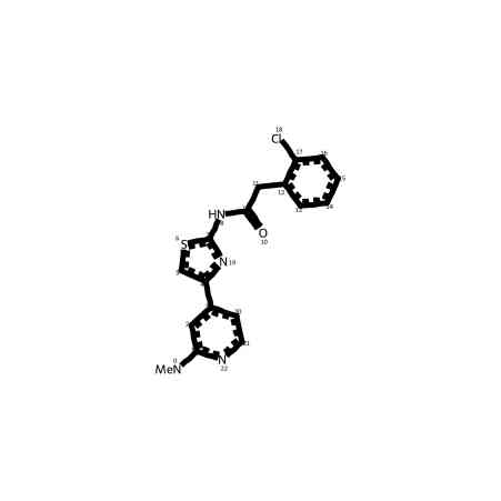 CNc1cc(-c2csc(NC(=O)Cc3ccccc3Cl)n2)ccn1